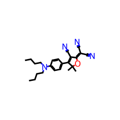 CCCCN(CCCC)c1ccc(C2=C(C#N)C(=C(C#N)C#N)OC2(C)C)cc1